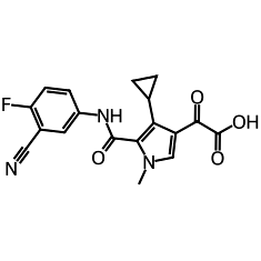 Cn1cc(C(=O)C(=O)O)c(C2CC2)c1C(=O)Nc1ccc(F)c(C#N)c1